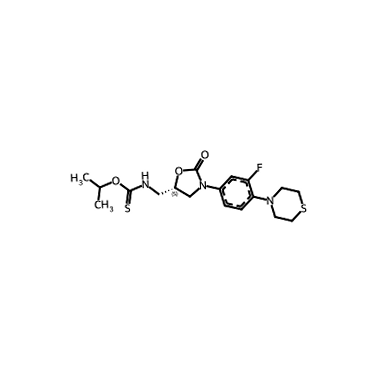 CC(C)OC(=S)NC[C@H]1CN(c2ccc(N3CCSCC3)c(F)c2)C(=O)O1